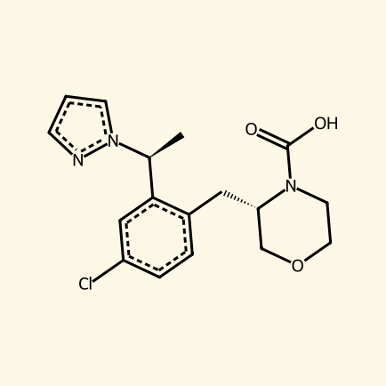 C[C@@H](c1cc(Cl)ccc1C[C@H]1COCCN1C(=O)O)n1cccn1